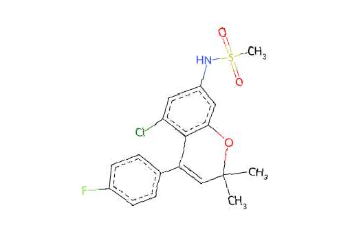 CC1(C)C=C(c2ccc(F)cc2)c2c(Cl)cc(NS(C)(=O)=O)cc2O1